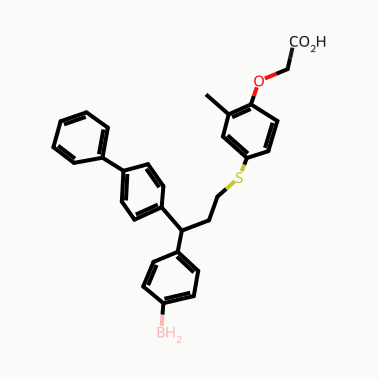 Bc1ccc(C(CCSc2ccc(OCC(=O)O)c(C)c2)c2ccc(-c3ccccc3)cc2)cc1